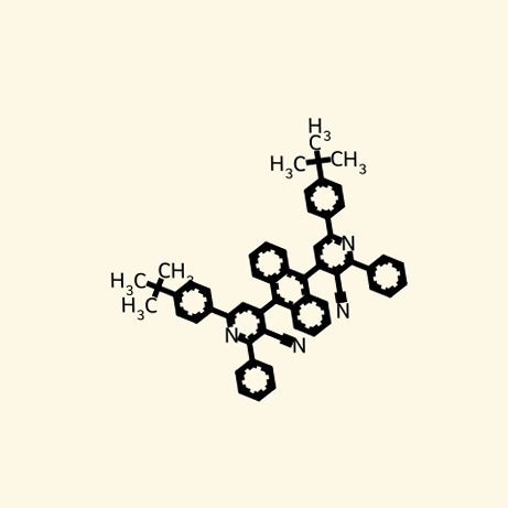 CC(C)(C)c1ccc(-c2cc(-c3c4ccccc4c(-c4cc(-c5ccc(C(C)(C)C)cc5)nc(-c5ccccc5)c4C#N)c4ccccc34)c(C#N)c(-c3ccccc3)n2)cc1